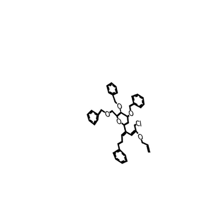 C=CCO/C(=C/C(=C\CCc1ccccc1)C1CC(OCc2ccccc2)[C@H](OCc2ccccc2)C(COCc2ccccc2)O1)CCl